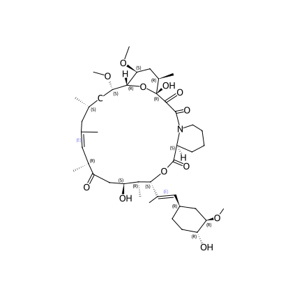 CO[C@H]1C[C@@H](C)C/C(C)=C/[C@@H](C)C(=O)C[C@H](O)[C@@H](C)[C@@H](/C(C)=C/[C@@H]2CC[C@@H](O)[C@H](OC)C2)OC(=O)[C@@H]2CCCCN2C(=O)C(=O)[C@]2(O)O[C@H]1[C@@H](OC)C[C@H]2C